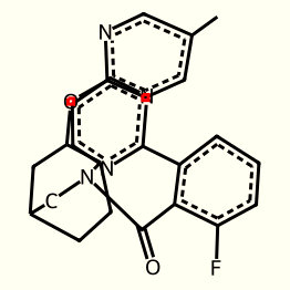 Cc1ccc(OC2CC3CCC2N(C(=O)c2c(F)cccc2-c2ncccn2)C3)nc1